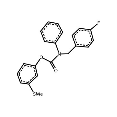 [CH2]Sc1cccc(OC(=O)N(Cc2ccc(F)cc2)c2ccccc2)c1